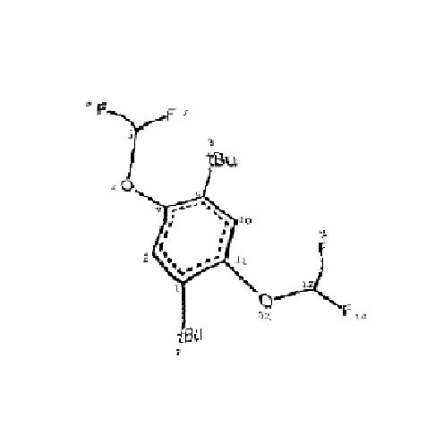 CC(C)(C)c1cc(OC(F)F)c(C(C)(C)C)cc1OC(F)F